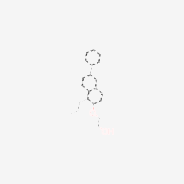 CCCc1c(OCCO)ccc2cc(-c3ccccc3)ccc12